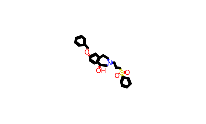 O=S(=O)(CCCN1CCc2cc(OCc3ccccc3)ccc2C(O)C1)c1ccccc1